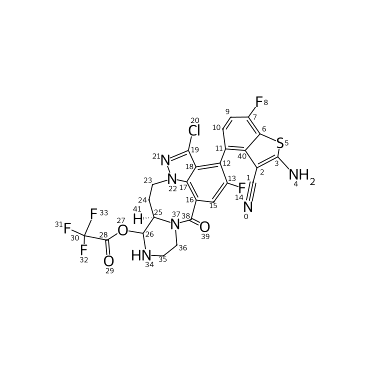 N#Cc1c(N)sc2c(F)ccc(-c3c(F)cc4c5c3c(Cl)nn5CC[C@@H]3C(OC(=O)C(F)(F)F)NCCN3C4=O)c12